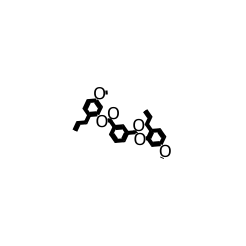 C=CCc1ccc(OC)cc1OC(=O)c1cccc(C(=O)Oc2cc(OC)ccc2CC=C)c1